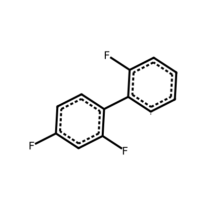 Fc1ccc(-c2[c]cccc2F)c(F)c1